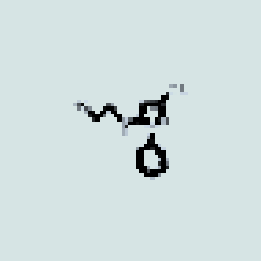 Cc1cc(NCCO)n(-c2ccccc2)n1